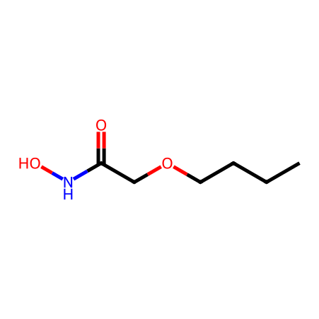 CCCCOCC(=O)NO